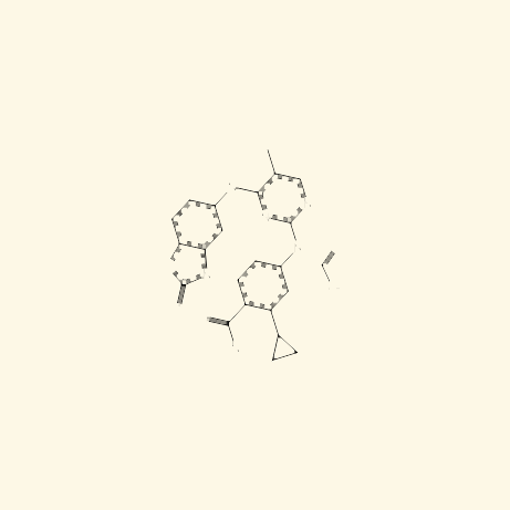 Cc1cnc(Nc2ccc(C(N)=O)c(C3CC3)c2)nc1Nc1ccc2oc(=O)[nH]c2c1.O=CO